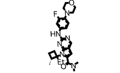 CCC1(n2c(C(=O)N(C)C)cc3cnc(Nc4ccc(N5CCOCC5)c(F)c4)nc32)CC[C@H]1C